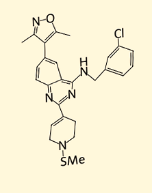 CSN1CC=C(c2nc(NCc3cccc(Cl)c3)c3cc(-c4c(C)noc4C)ccc3n2)CC1